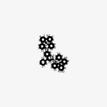 c1ccc([Si]2(c3ccccc3)c3ccccc3N(c3ccc4c(C5CCCCC5)cc(N5c6ccccc6[Si](c6ccccc6)(c6ccccc6)c6ccccc65)nc4c3)c3ccccc32)cc1